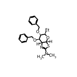 CC[C@H]1O[C@@H]2SC(N(C)C)=N[C@@H]2[C@@H](OCc2ccccc2)[C@@H]1OCc1ccccc1